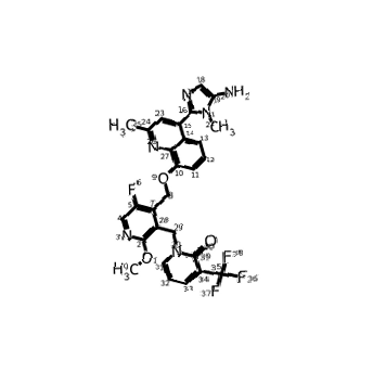 COc1ncc(F)c(COc2cccc3c(-c4ncc(N)n4C)cc(C)nc23)c1Cn1cccc(C(F)(F)F)c1=O